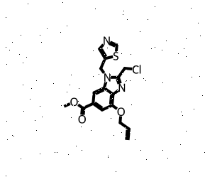 C=CCOc1cc(C(=O)OC)cc2c1nc(CCl)n2Cc1cncs1